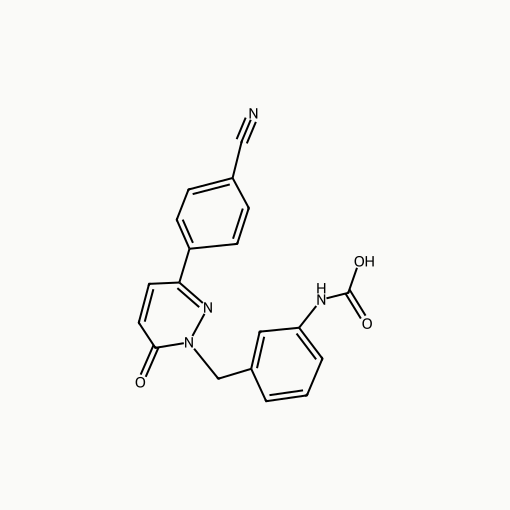 N#Cc1ccc(-c2ccc(=O)n(Cc3cccc(NC(=O)O)c3)n2)cc1